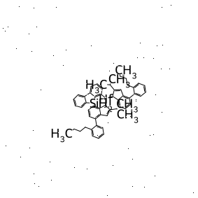 CCCCc1ccccc1-c1cccc2c1C=C(C(C)C)[CH]2[Hf]([c]1cccc2c1[SiH2]c1ccccc1-2)[CH]1C(C(C)C)=Cc2c(-c3ccccc3CCCC)cccc21